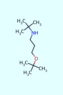 CC(C)(C)NCCCOC(C)(C)C